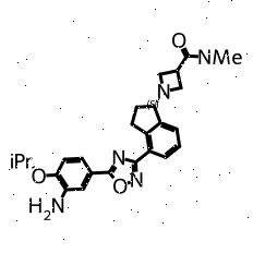 CNC(=O)C1CN([C@H]2CCc3c(-c4noc(-c5ccc(OC(C)C)c(N)c5)n4)cccc32)C1